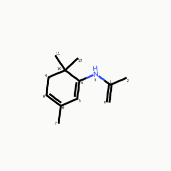 C=C(C)NC1=CC(C)=CCC1(C)C